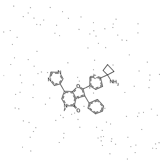 Cn1cc(-c2cncnc2)c2oc(-c3ccc(C4(N)CCC4)cc3)c(-c3ccccc3)c2c1=O